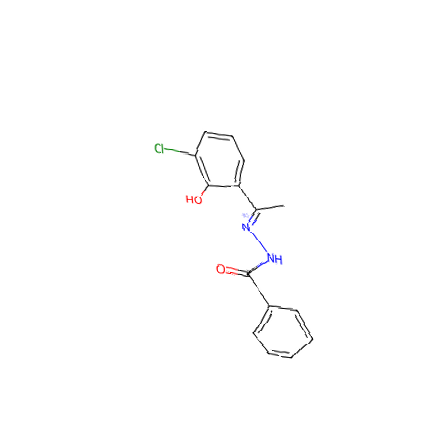 C/C(=N\NC(=O)c1ccccc1)c1cccc(Cl)c1O